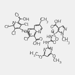 COc1cc(OC)nc(NC(=O)NS(=O)(=O)c2c(C(=O)O)cnn2C)n1.Cc1cnc2c(C(=O)O)c(Cl)ccc2c1.Nc1c(Cl)c(Cl)nc(C(=O)O)c1Cl